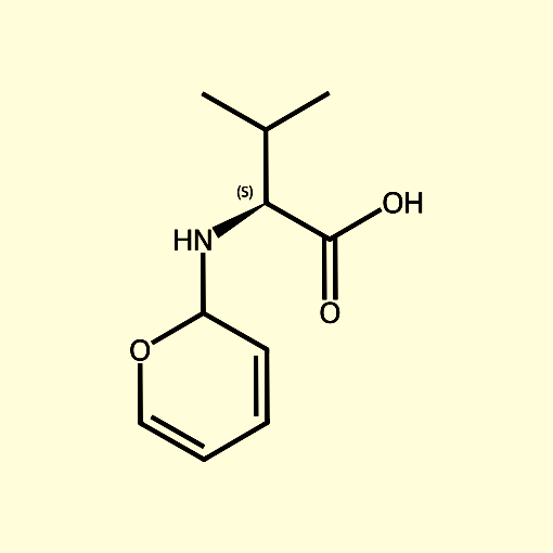 CC(C)[C@H](NC1C=CC=CO1)C(=O)O